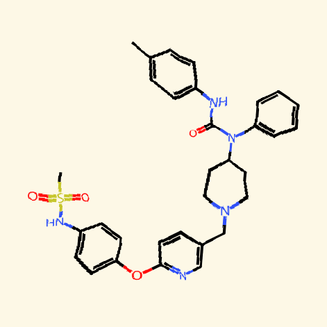 Cc1ccc(NC(=O)N(c2ccccc2)C2CCN(Cc3ccc(Oc4ccc(NS(C)(=O)=O)cc4)nc3)CC2)cc1